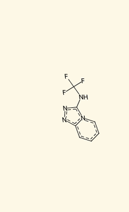 FC(F)(F)Nc1nnc2ccccn12